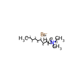 CCCCCCCCC[N+](C)(C)CC.[Br-]